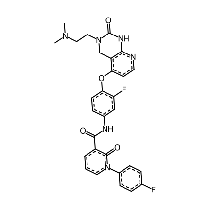 CN(C)CCN1Cc2c(Oc3ccc(NC(=O)c4cccn(-c5ccc(F)cc5)c4=O)cc3F)ccnc2NC1=O